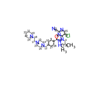 CC(C)CN(NC(=O)c1ccc(CN2CCN(CCN3CCCCC3)CC2)cc1)c1nc(C#N)ncc1Cl